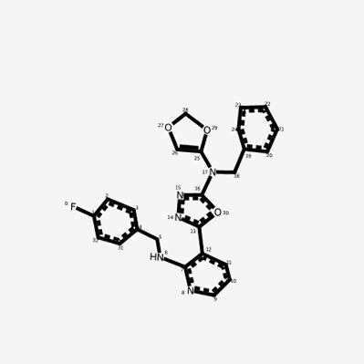 Fc1ccc(CNc2ncccc2-c2nnc(N(Cc3ccccc3)C3=COCO3)o2)cc1